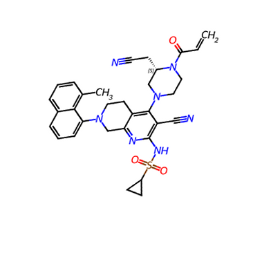 C=CC(=O)N1CCN(c2c(C#N)c(NS(=O)(=O)C3CC3)nc3c2CCN(c2cccc4cccc(C)c24)C3)C[C@@H]1CC#N